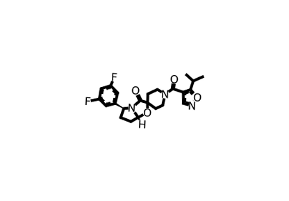 CC(C)c1oncc1C(=O)N1CCC2(CC1)O[C@@H]1CC[C@@H](c3cc(F)cc(F)c3)N1C2=O